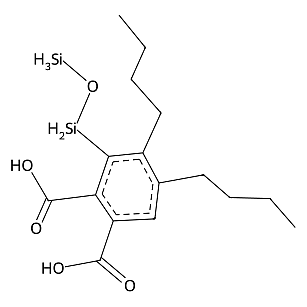 CCCCc1cc(C(=O)O)c(C(=O)O)c([SiH2]O[SiH3])c1CCCC